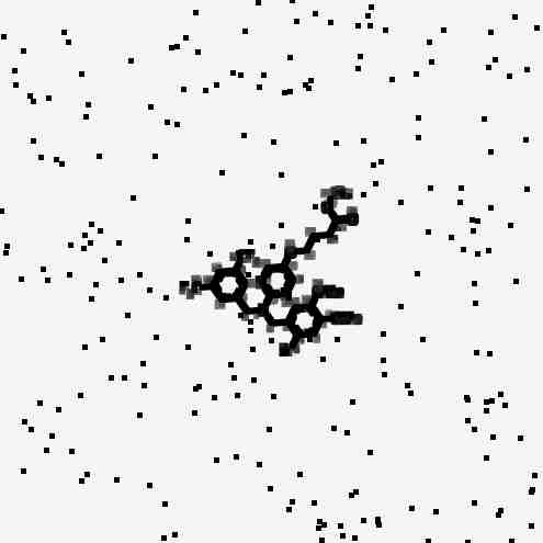 COc1cc(Br)c(CN(Cc2cc(C(F)(F)F)cc(C(F)(F)F)c2)c2ncc(OCCCC(=O)OC(C)(C)C)cn2)cc1OC